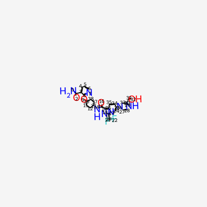 NC(=O)c1cccnc1OC1CCC(NC(=O)c2nc(C(F)F)n3cc(N4CCN[C@H](CO)C4)ccc23)CC1